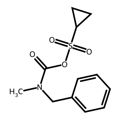 CN(Cc1ccccc1)C(=O)OS(=O)(=O)C1CC1